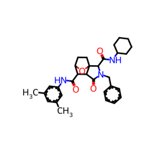 Cc1cc(C)cc(NC(=O)C2C3CCC4(O3)C2C(=O)N(Cc2ccccc2)C4C(=O)NC2CCCCC2)c1